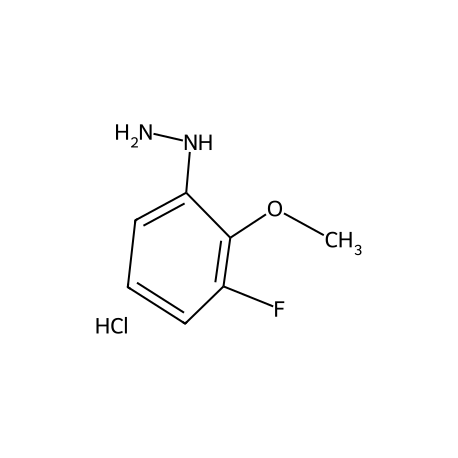 COc1c(F)cccc1NN.Cl